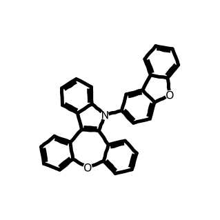 c1ccc2c(c1)Oc1ccccc1-c1c-2c2ccccc2n1-c1ccc2oc3ccccc3c2c1